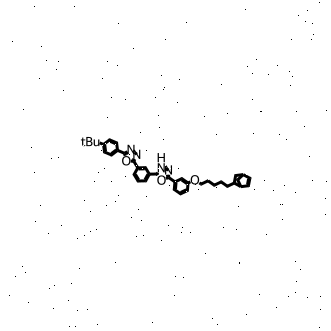 CC(C)(C)c1ccc(-c2nnc(-c3cccc(C4NN=C(c5cccc(OCCCCCC6CC7C=CC6C7)c5)O4)c3)o2)cc1